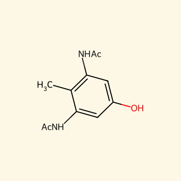 CC(=O)Nc1cc(O)cc(NC(C)=O)c1C